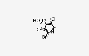 O=C(O)c1c(Cl)cnc(Br)c1Cl